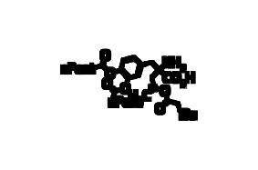 CCCCCC(=O)Oc1ccc(CC(N)(C[C@H](C)OC(=O)CC(C)CC)C(=O)O)cc1OC(=O)CCCCC